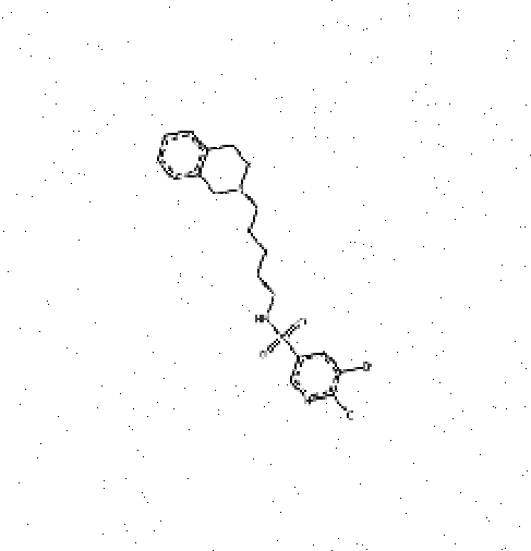 O=S(=O)(NCCCCCN1CCc2ccccc2C1)c1cnc(Cl)c(Br)c1